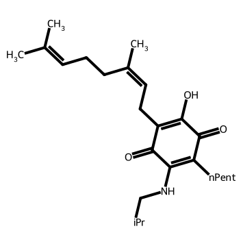 CCCCCC1=C(NCC(C)C)C(=O)C(CC=C(C)CCC=C(C)C)=C(O)C1=O